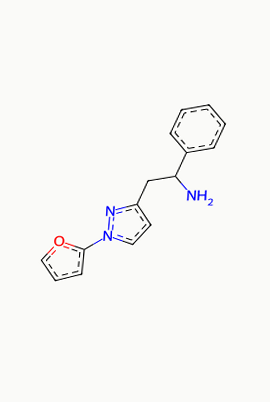 NC(Cc1ccn(-c2ccco2)n1)c1ccccc1